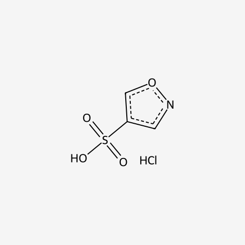 Cl.O=S(=O)(O)c1cnoc1